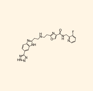 O=C(NCc1ncccc1F)c1coc(CCNCCc2nc3ccc(-c4nn[nH]n4)cc3[nH]2)n1